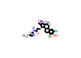 Cc1cnc(NC(=O)CC[C@@H]2c3conc3[C@@]3(C)CCC4c5cc(Br)c(O)c(Br)c5CCC4C23)s1